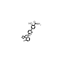 NC(=O)c1ccc(-c2ccc(NCC3(c4ncccc4F)CCC3)nn2)cc1O